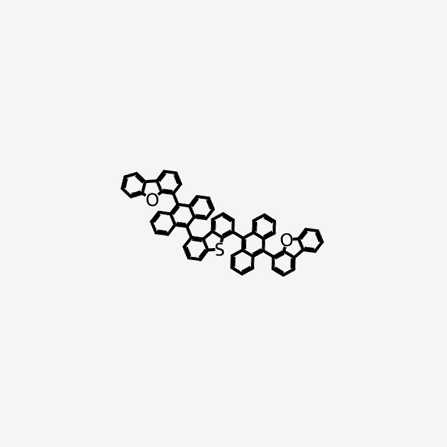 c1ccc2c(c1)oc1c(-c3c4ccccc4c(-c4cccc5c4sc4cccc(-c6c7ccccc7c(-c7cccc8c7oc7ccccc78)c7ccccc67)c45)c4ccccc34)cccc12